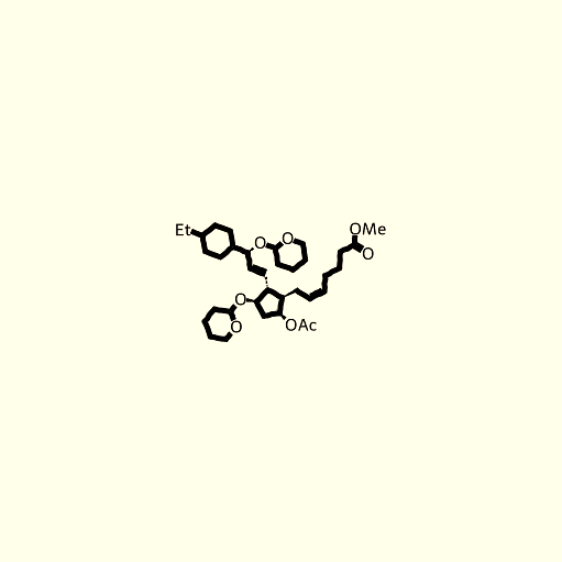 CCC1CCC([C@@H](/C=C/[C@@H]2[C@@H](C/C=C\CCCC(=O)OC)[C@@H](OC(C)=O)C[C@H]2OC2CCCCO2)OC2CCCCO2)CC1